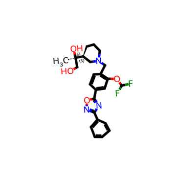 C[C@@](O)(CO)[C@H]1CCCN(Cc2ccc(-c3nc(-c4ccccc4)no3)cc2OC(F)F)C1